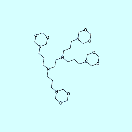 C(CN(CCCN1COCOC1)CCN(CCCN1COCOC1)CCCN1COCOC1)CN1COCOC1